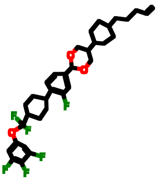 C=CCCCC1CCC(C2COC(c3ccc(C4CCC(C(F)(F)Oc5cc(F)c(F)c(F)c5)CC4)c(F)c3)OC2)CC1